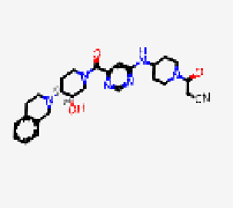 N#CCC(=O)N1CCC(Nc2cc(C(=O)N3CC[C@@H](N4CCc5ccccc5C4)[C@H](O)C3)ncn2)CC1